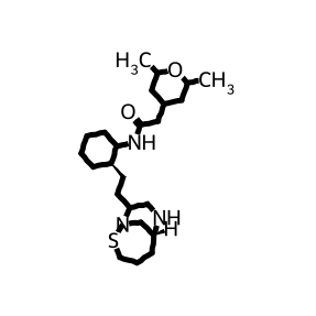 CC1CC(CC(=O)NC2CCCC[C@@H]2CCC2CN[C@@H]3CCCSN2C3)CC(C)O1